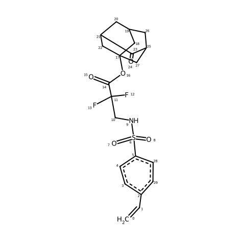 C=Cc1ccc(S(=O)(=O)NCC(F)(F)C(=O)OC23CC4CC(C2)C(=O)C(C4)C3)cc1